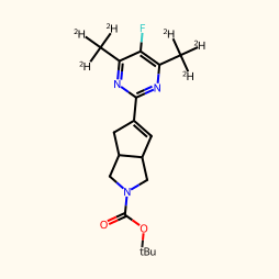 [2H]C([2H])([2H])c1nc(C2=CC3CN(C(=O)OC(C)(C)C)CC3C2)nc(C([2H])([2H])[2H])c1F